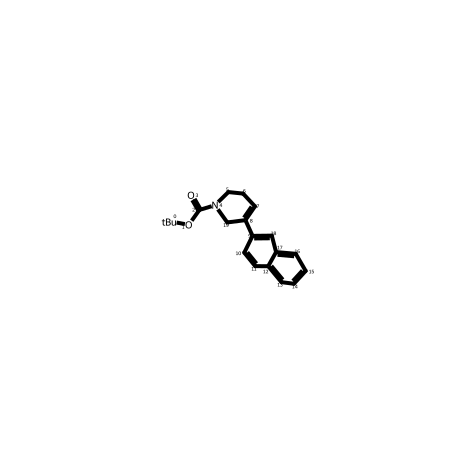 CC(C)(C)OC(=O)N1CCC=C(c2ccc3ccccc3c2)C1